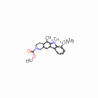 COc1cccc2c3cc4c(c(C)c3n(C)c12)CCN(C(=O)OC(C)(C)C)C4